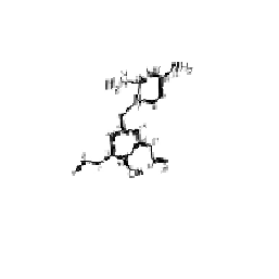 C=CCc1cc(CN2CC=C(N)N=C2N)cc(CC=C)c1O